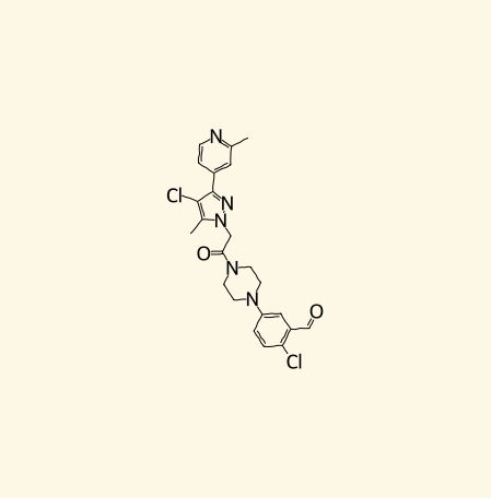 Cc1cc(-c2nn(CC(=O)N3CCN(c4ccc(Cl)c(C=O)c4)CC3)c(C)c2Cl)ccn1